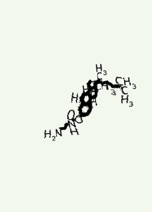 CC(C)CCC[C@@H](C)[C@H]1CC[C@H]2[C@@H]3CC=C4C[C@@H](OC(=O)NCCCN)CC[C@]4(C)[C@H]3CC[C@]12C